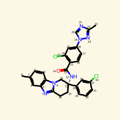 Cc1ccc2c(c1)nc1n2C[C@@](NC(=O)c2ccc(-n3cnc(C)n3)cc2Cl)(c2cccc(Cl)c2)CC1